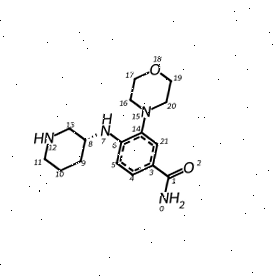 NC(=O)c1ccc(N[C@@H]2CCCNC2)c(N2CCOCC2)c1